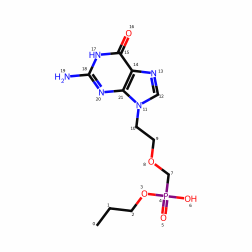 CCCOP(=O)(O)COCCn1cnc2c(=O)[nH]c(N)nc21